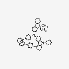 CC1(C)c2ccccc2-c2ccc(N(c3ccc(-c4ccccc4)cc3)c3ccc4c(c3)c3c(-c5ccc(-c6ccccc6)cc5)cccc3n4-c3ccccc3)cc21